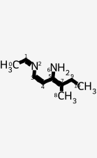 C\C=N/C=C\C(N)=C(/C)CC